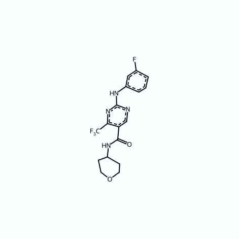 O=C(NC1CCOCC1)c1cnc(Nc2cccc(F)c2)nc1C(F)(F)F